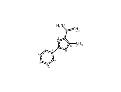 C=C(N)c1oc(-c2cccnc2)cc1C